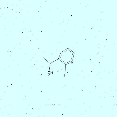 CC(O)c1cccnc1F